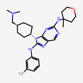 CN(C)C[C@H]1CC[C@H](n2c(Nc3cccc(C(F)(F)F)c3)nc3cnc(NC4(C)CCOCC4)nc32)CC1